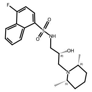 C[C@@H]1CCC[C@H](C)N1C[C@@H](O)CNS(=O)(=O)c1ccc(F)c2ccccc12